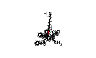 C=CCO[C@H]1O[C@H](COC(=O)OCc2ccccc2)[C@@H](OP(=O)(Oc2ccccc2)Oc2ccccc2)[C@H](OCC[C@H](O)CCCCCCCCCCC)[C@H]1NC(=O)OCC(Cl)(Cl)Cl